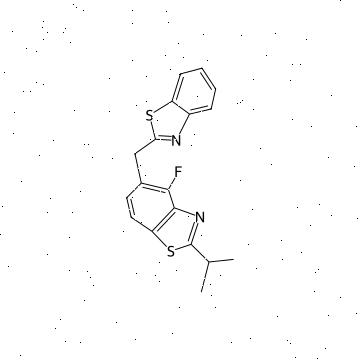 CC(C)c1nc2c(F)c(Cc3nc4ccccc4s3)ccc2s1